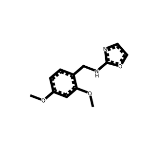 COc1ccc(CNc2ncco2)c(OC)c1